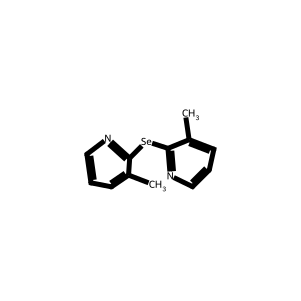 Cc1cccnc1[Se]c1ncccc1C